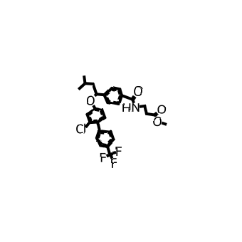 COC(=O)CCNC(=O)c1ccc(C(CC(C)C)Oc2ccc(-c3ccc(C(F)(F)F)cc3)c(Cl)c2)cc1